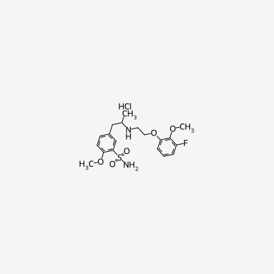 COc1ccc(CC(C)NCCOc2cccc(F)c2OC)cc1S(N)(=O)=O.Cl